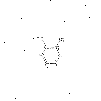 [O-][n+]1ccc[c]c1C(F)(F)F